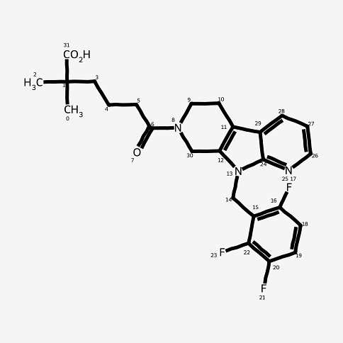 CC(C)(CCCC(=O)N1CCc2c(n(Cc3c(F)ccc(F)c3F)c3ncccc23)C1)C(=O)O